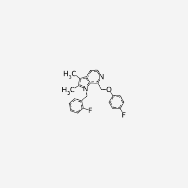 Cc1c(C)n(Cc2ccccc2F)c2c(COc3ccc(F)cc3)nccc12